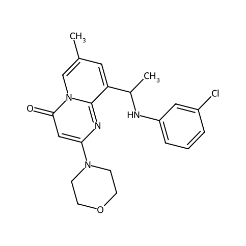 Cc1cc(C(C)Nc2cccc(Cl)c2)c2nc(N3CCOCC3)cc(=O)n2c1